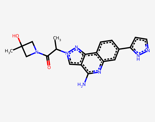 CC(C(=O)N1CC(C)(O)C1)n1cc2c(N)nc3cc(-c4ccn[nH]4)ccc3c2n1